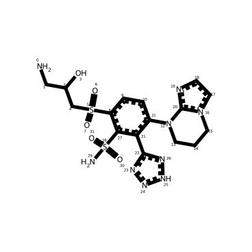 NCC(O)CS(=O)(=O)c1ccc(N2CCCn3ccnc32)c(-c2nn[nH]n2)c1S(N)(=O)=O